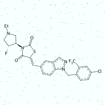 CCN1C[C@@H](F)[C@H](N2C(=O)SC(=Cc3ccc4c(cnn4Cc4ccc(Cl)cc4C(F)(F)F)c3)C2=O)C1